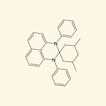 CC1CC(C)CC2(C1)N(c1ccccc1)c1cccc3cccc(c13)N2c1ccccc1